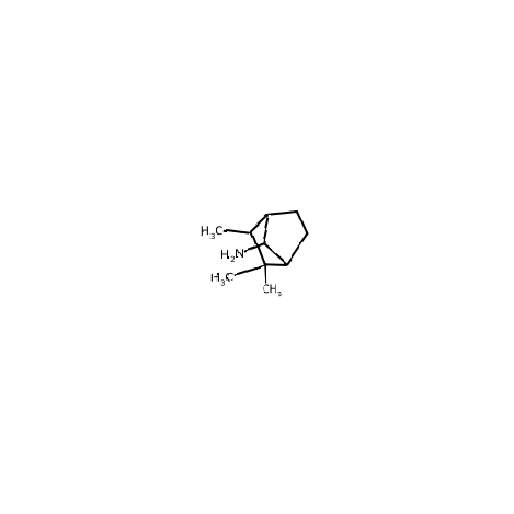 CC1C2CCC(C2N)C1(C)C